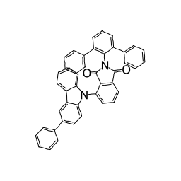 O=C1c2cccc(-n3c4ccccc4c4cc(-c5ccccc5)ccc43)c2C(=O)N1c1c(-c2ccccc2)cccc1-c1ccccc1